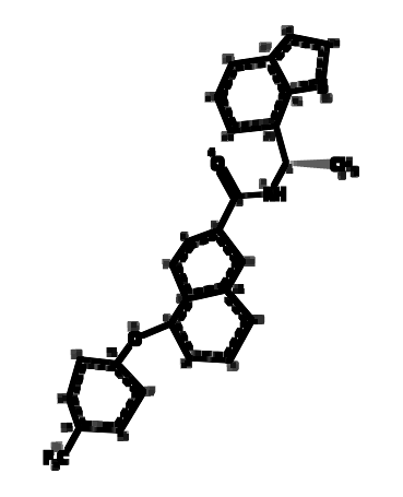 C[C@H](NC(=O)c1ccc2c(Oc3ccc(C(F)(F)F)cc3)cccc2c1)c1cccc2ccsc12